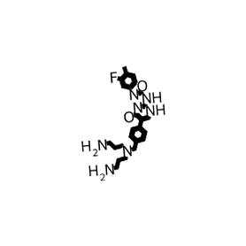 Cc1cc2oc(Nc3nc(=O)c(-c4ccc(CN(CCCN)CCCN)cc4)c[nH]3)nc2cc1F